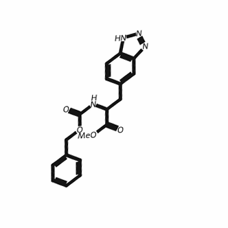 COC(=O)C(Cc1ccc2[nH]nnc2c1)NC(=O)OCc1ccccc1